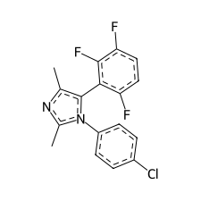 Cc1nc(C)n(-c2ccc(Cl)cc2)c1-c1c(F)ccc(F)c1F